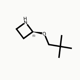 CC(C)(C)CO[C@H]1CCN1